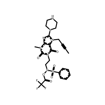 CC#CCn1c(N2CCNCC2)nc2c1c(=O)n(CCN(OC(=O)C(F)(F)F)S(=O)(=O)c1ccccc1)c(=O)n2C